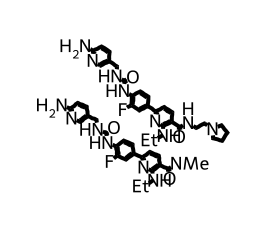 CCNc1nc(-c2ccc(NC(=O)NCc3ccc(N)nc3)c(F)c2)ccc1C(=O)NC.CCNc1nc(-c2ccc(NC(=O)NCc3ccc(N)nc3)c(F)c2)ccc1C(=O)NCCN1CCCC1